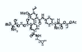 C=Cc1cc(C(=O)Nc2ccc(C(=N)NC(=O)OC(C)OC(C)=O)cc2)c(-c2ccc(C(=O)NCC3CC3)nc2C(=O)OCOC(=O)[C@@H](N)[C@@H](C)CC)cc1OC